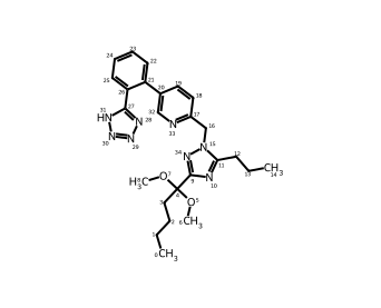 CCCCC(OC)(OC)c1nc(CCC)n(Cc2ccc(-c3ccccc3-c3nnn[nH]3)cn2)n1